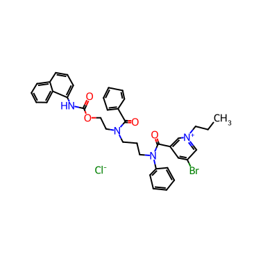 CCC[n+]1cc(Br)cc(C(=O)N(CCCN(CCOC(=O)Nc2cccc3ccccc23)C(=O)c2ccccc2)c2ccccc2)c1.[Cl-]